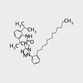 CCCCCCCCCCCCc1ccccc1-n1nnc(CC(=O)Nc2c(C(C)C)cccc2C(C)C)n1